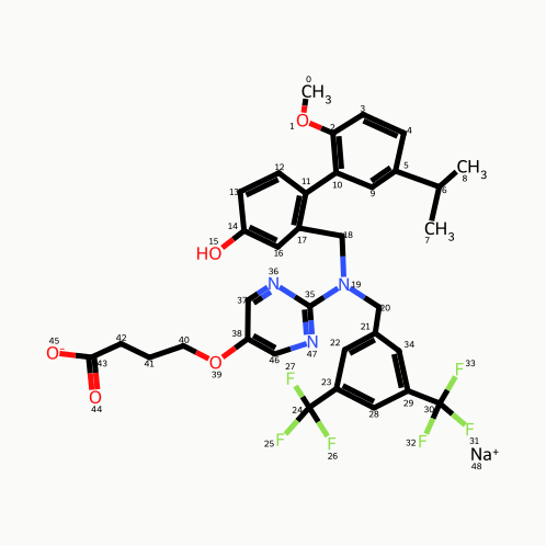 COc1ccc(C(C)C)cc1-c1ccc(O)cc1CN(Cc1cc(C(F)(F)F)cc(C(F)(F)F)c1)c1ncc(OCCCC(=O)[O-])cn1.[Na+]